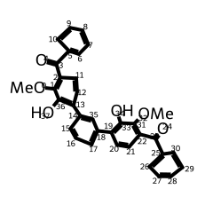 COc1c(C(=O)c2ccccc2)ccc(-c2cccc(-c3ccc(C(=O)c4ccccc4)c(OC)c3O)c2)c1O